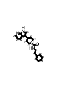 O=C(NCCc1ccccc1)N1CC=C(c2c[nH]c3ncccc23)CC1